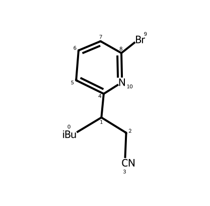 CCC(C)C(CC#N)c1cccc(Br)n1